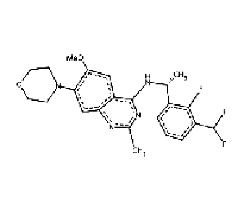 COc1cc2c(N[C@H](C)c3cccc(C(F)F)c3F)nc(C)nc2cc1N1CCOCC1